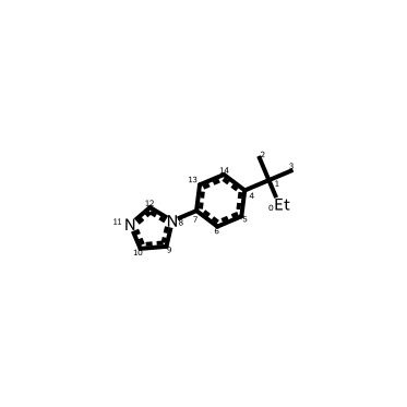 CCC(C)(C)c1ccc(-n2ccnc2)cc1